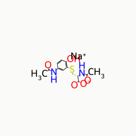 CC(=O)Nc1ccc(O)c(SC[C@H](NC(C)=O)C(=O)[O-])c1.[Na+]